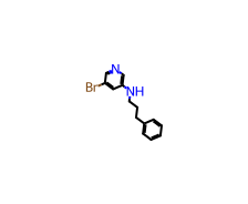 Brc1cncc(NCCCc2ccccc2)c1